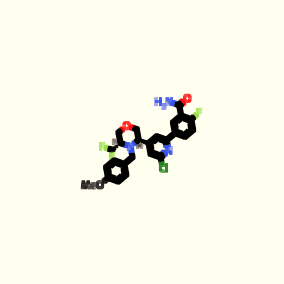 COc1ccc(CN2[C@H](c3cc(Cl)nc(-c4ccc(F)c(C(N)=O)c4)c3)COC[C@H]2C(F)F)cc1